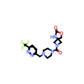 O=C1NC2(CO1)CN(C(=O)N1CCN(Cc3ccc(C(F)(F)F)nn3)CC1)C2